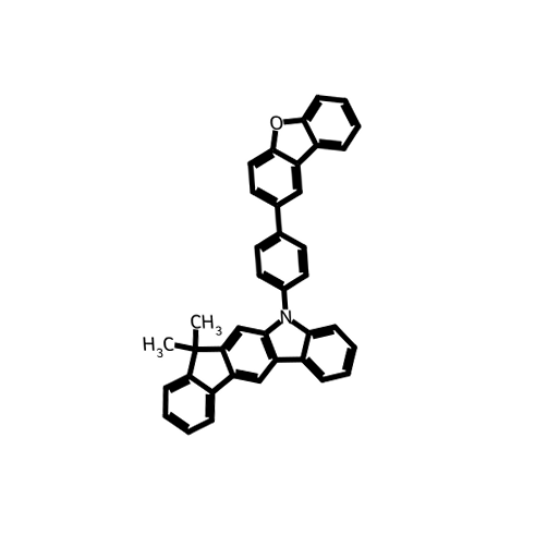 CC1(C)c2ccccc2-c2cc3c4ccccc4n(-c4ccc(-c5ccc6oc7ccccc7c6c5)cc4)c3cc21